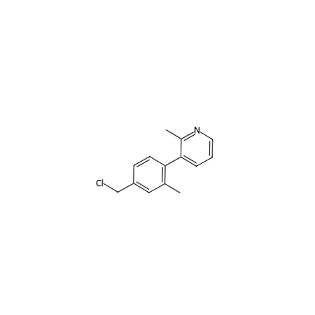 Cc1cc(CCl)ccc1-c1cccnc1C